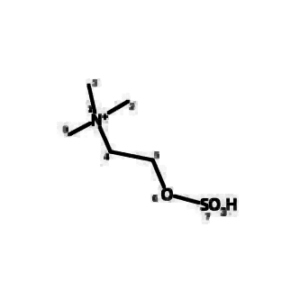 C[N+](C)(C)CCOS(=O)(=O)O